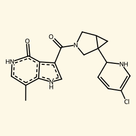 Cc1c[nH]c(=O)c2c(C(=O)N3CC4CC4(C4C=CC(Cl)=CN4)C3)c[nH]c12